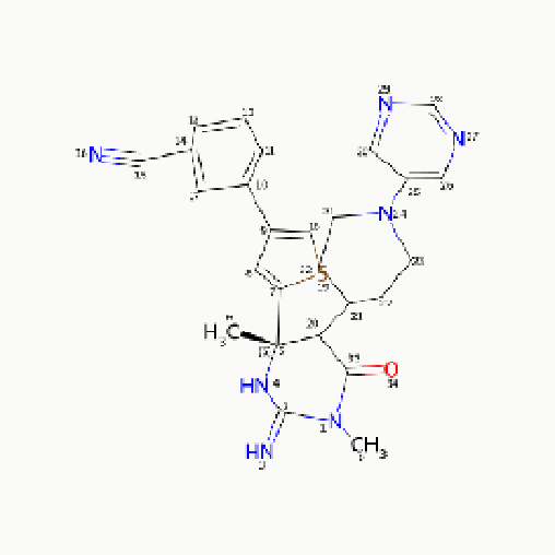 CN1C(=N)N[C@](C)(c2cc(-c3cccc(C#N)c3)cs2)C(C2CCN(c3cncnc3)CC2)C1=O